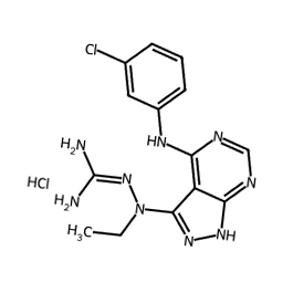 CCN(N=C(N)N)c1n[nH]c2ncnc(Nc3cccc(Cl)c3)c12.Cl